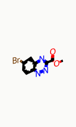 COC(=O)c1nnc2ccc(Br)cc2n1